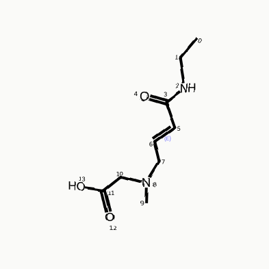 CCNC(=O)/C=C/CN(C)CC(=O)O